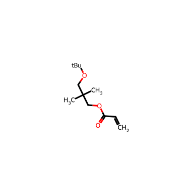 C=CC(=O)OCC(C)(C)COC(C)(C)C